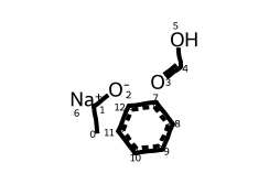 CC[O-].O=CO.[Na+].c1ccccc1